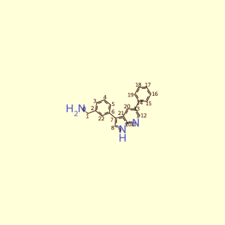 NCc1cccc(-c2c[nH]c3ncc(-c4ccccc4)cc23)c1